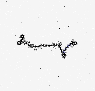 CN(CC(=O)NCCCOCCOCCOCCCNC(=O)CN(C)C(=O)CCC(=O)Nc1nc(-c2ccccc2)cc(-c2ccccc2)n1)C(=O)CCCCCN1/C(=C/C=C/C=C/C=C/C2=[N+](C)c3ccccc3C2(C)C)C(C)(C)c2ccccc21